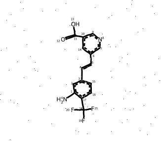 Nc1cc(/C=C/c2cncc(C(=O)O)c2)ccc1C(F)(F)F